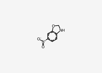 O=[N+]([O-])c1ccc2c(c1)OCN2